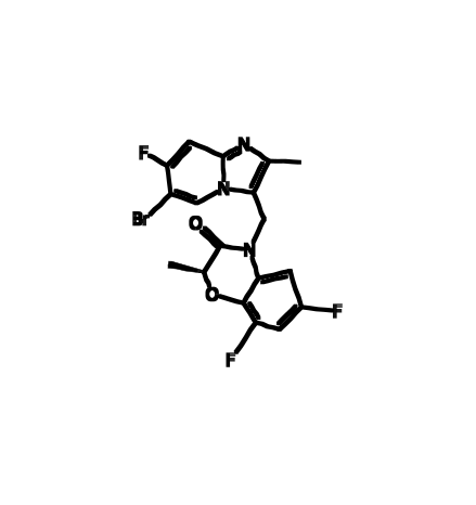 Cc1nc2cc(F)c(Br)cn2c1CN1C(=O)[C@H](C)Oc2c(F)cc(F)cc21